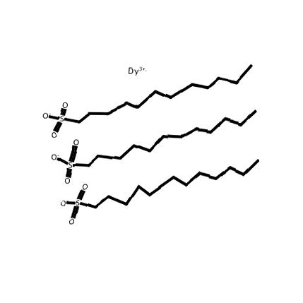 CCCCCCCCCCCCS(=O)(=O)[O-].CCCCCCCCCCCCS(=O)(=O)[O-].CCCCCCCCCCCCS(=O)(=O)[O-].[Dy+3]